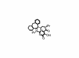 CC(C)Nc1nc(=O)c(O)c2n1[C@@H](C1CC3=C(CCC=C3)Cc3ccccc31)CN(C(C)C)C2=O